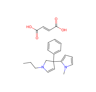 CCCN1C=CC(c2ccccc2)(c2cccn2C)C1.O=C(O)/C=C/C(=O)O